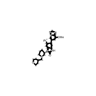 COc1cc(-c2cc3[nH]c(=O)n([C@@H]4CCCN(CC5CCOCC5)C4)c3cc2C(C)C)cn2ncnc12